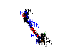 C=C1CCC(n2ncc3c(NC/C(N)=C/N(N)CCOCCOCCNC(=O)C[C@@H]4N=C(c5ccc(Cl)cc5)c5c(sc(C)c5C)-n5c(C)nnc54)cccc3c2=O)C(=O)N1